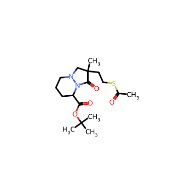 CC(=O)SCCC1(C)CN2CCCC(C(=O)OC(C)(C)C)N2C1=O